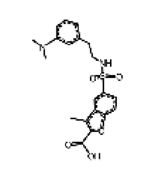 Cc1c(C(=O)O)oc2ccc(S(=O)(=O)NCCc3cccc(N(C)C)c3)cc12